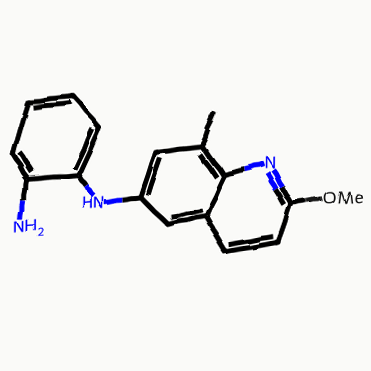 COc1ccc2cc(Nc3ccccc3N)cc(C)c2n1